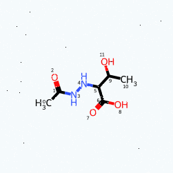 CC(=O)NNC(C(=O)O)C(C)O